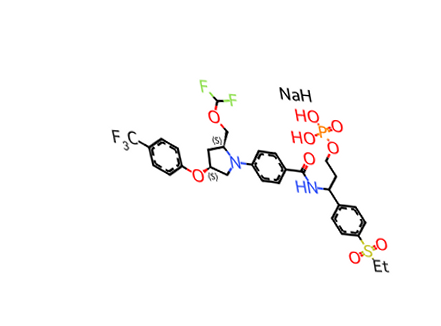 CCS(=O)(=O)c1ccc(C(CCOP(=O)(O)O)NC(=O)c2ccc(N3C[C@@H](Oc4ccc(C(F)(F)F)cc4)C[C@H]3COC(F)F)cc2)cc1.[NaH]